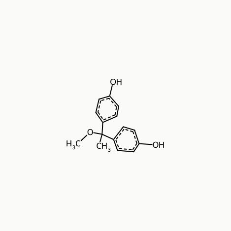 COC(C)(c1ccc(O)cc1)c1ccc(O)cc1